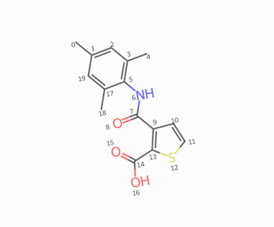 Cc1cc(C)c(NC(=O)c2ccsc2C(=O)O)c(C)c1